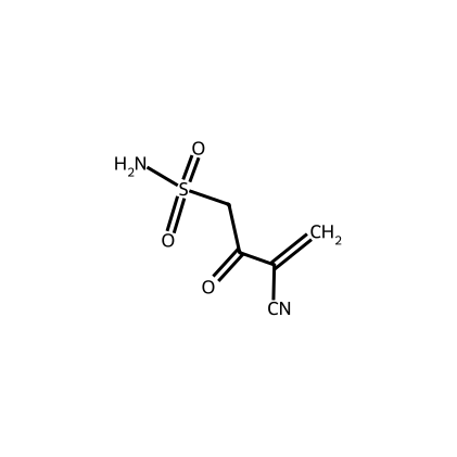 C=C(C#N)C(=O)CS(N)(=O)=O